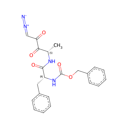 C[C@H](NC(=O)[C@@H](Cc1ccccc1)NC(=O)OCc1ccccc1)C(=O)C(=O)C=[N+]=[N-]